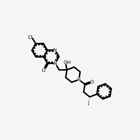 C[C@H](CC(=O)N1CCC(O)(Cn2cnc3cc(Cl)ccc3c2=O)CC1)c1ccccc1